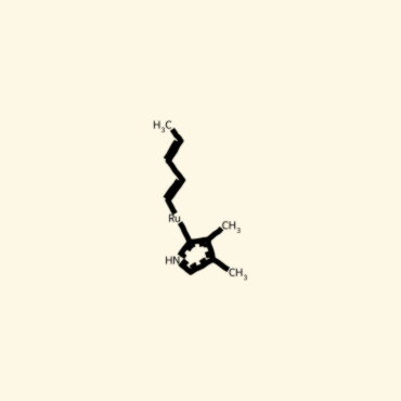 CC=CC=[CH][Ru][c]1[nH]cc(C)c1C